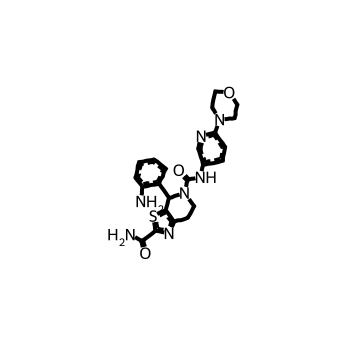 NC(=O)c1nc2c(s1)C(c1ccccc1N)N(C(=O)Nc1ccc(N3CCOCC3)nc1)CC2